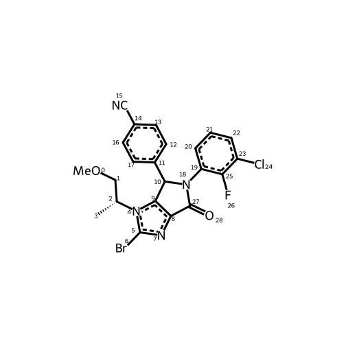 COC[C@@H](C)n1c(Br)nc2c1C(c1ccc(C#N)cc1)N(c1cccc(Cl)c1F)C2=O